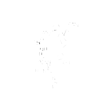 C=CC(=O)N1CC[C@H](C(=O)N(C)C(C(=O)N[C@H]2Cc3cc(O)cc(c3)-c3ccc4c(c3)c(c(-c3c(CCOC)cccc3OC)n4CC)CC(C)(C)COC(=O)[C@@H]3CCCN(N3)C2=O)C(C)C)C1